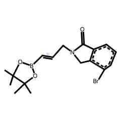 CC1(C)OB(/C=C/CN2Cc3c(Br)cccc3C2=O)OC1(C)C